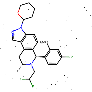 COc1cc(Br)ccc1[C@@H]1c2ccc3c(cnn3C3CCCCO3)c2C[C@@H](C)N1CC(F)F